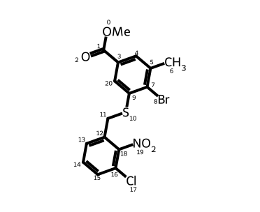 COC(=O)c1cc(C)c(Br)c(SCc2cccc(Cl)c2[N+](=O)[O-])c1